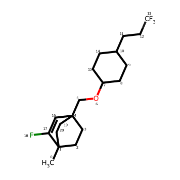 CC12CCC(COC3CCC(CCC(F)(F)F)CC3)(C=C1F)CC2